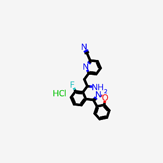 Cl.N#Cc1cccc(CC(N)c2c(F)cccc2-c2noc3ccccc23)n1